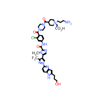 Cn1c(-c2cn(-c3ccc4[nH]c(CCCO)cc4n3)nc2C(F)(F)F)cnc1C(=O)Nc1ccc(C(=O)N2CCN(C(=O)C3CC[N+](CCCN)(CC(=O)O)CC3)CC2)c(Cl)c1